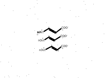 CCCCCCCCC=CC(=O)[O-].CCCCCCCCC=CC(=O)[O-].CCCCCCCCC=CC(=O)[O-].[In+3]